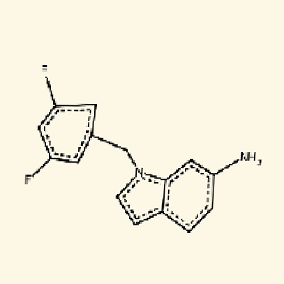 Nc1ccc2ccn(Cc3cc(F)cc(F)c3)c2c1